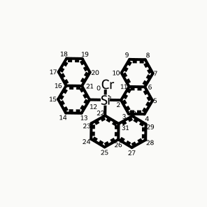 [Cr][Si](c1cccc2ccccc12)(c1cccc2ccccc12)c1cccc2ccccc12